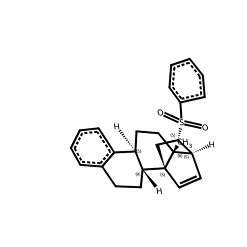 C[C@]12CC[C@@H]3c4ccccc4CC[C@H]3[C@@]13C=C[C@@H]2[C@@H](S(=O)(=O)c1ccccc1)C3